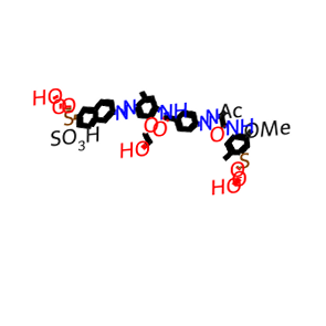 COc1cc(SOOO)c(C)cc1NC(=O)C(/N=N/c1ccc(C(=O)Nc2cc(C)c(/N=N/c3ccc4cc(SOOO)cc(S(=O)(=O)O)c4c3)cc2OCCO)cc1)C(C)=O